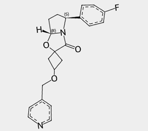 O=C1N2[C@@H](CC[C@H]2c2ccc(F)cc2)OC12CC(OCc1ccncc1)C2